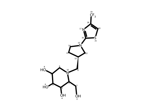 OCC1C(O)C(O)C(O)CN1C[C@H]1CCN(c2nc(C(F)(F)F)cs2)C1